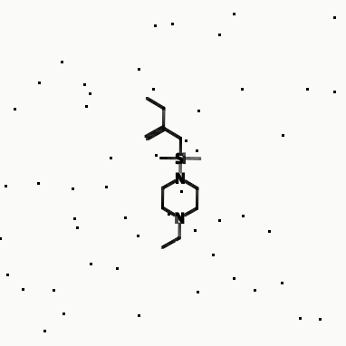 C=C(CC)C[Si](C)(C)N1CCN(CC)CC1